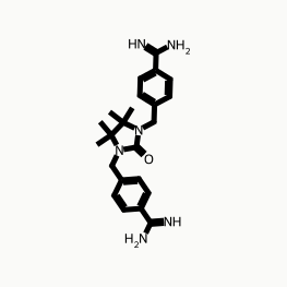 CC1(C)N(Cc2ccc(C(=N)N)cc2)C(=O)N(Cc2ccc(C(=N)N)cc2)C1(C)C